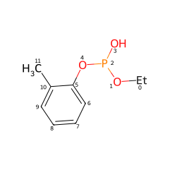 CCOP(O)Oc1ccccc1C